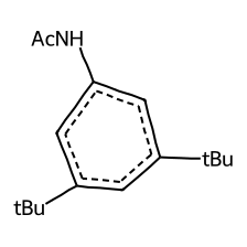 CC(=O)Nc1cc(C(C)(C)C)cc(C(C)(C)C)c1